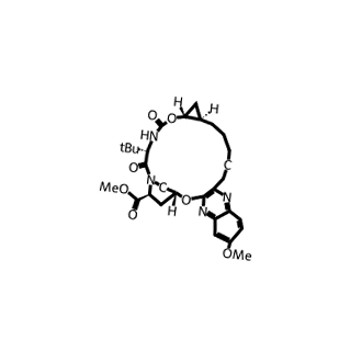 COC(=O)[C@@H]1C[C@@H]2CN1C(=O)[C@H](C(C)(C)C)NC(=O)O[C@@H]1C[C@H]1CCCCCc1nc3ccc(OC)cc3nc1O2